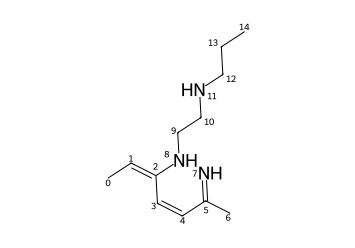 C/C=C(\C=C/C(C)=N)NCCNCCC